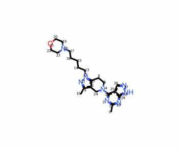 Cc1nc(N2CCc3c(c(C)nn3CCCCCN3CCOCC3)C2)c2cn[nH]c2n1